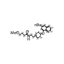 CCCCc1cc(OC2CCN(CCNC(=O)CCCOC)CC2)c2ncccc2c1